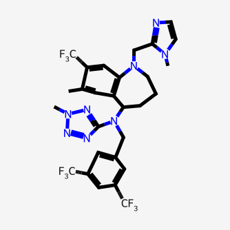 Cc1cc2c(cc1C(F)(F)F)N(Cc1nccn1C)CCCC2N(Cc1cc(C(F)(F)F)cc(C(F)(F)F)c1)c1nnn(C)n1